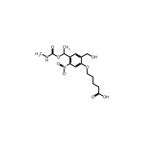 CNC(=O)OC(C)c1cc(CO)c(OCCCCC(=O)O)cc1[N+](=O)[O-]